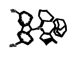 CC1=CC[C]([Zr](=[C]2CCCCC2)[CH]2c3ccc(C(C)(C)C)cc3-c3cc(C(C)(C)C)ccc32)=C1C12CC3CC(CC(C3)C1)C2